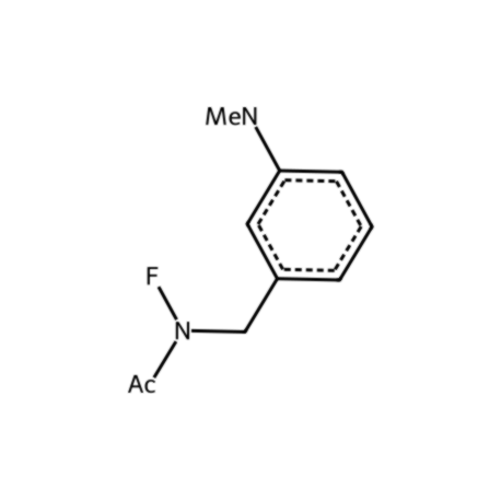 CNc1cccc(CN(F)C(C)=O)c1